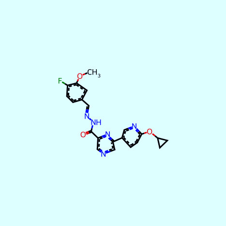 COc1cc(/C=N/NC(=O)c2cncc(-c3ccc(OC4CC4)nc3)n2)ccc1F